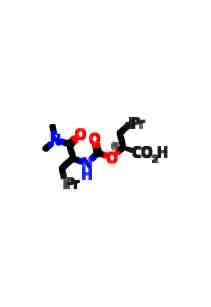 CC(C)CC(NC(=O)O[C@@H](CC(C)C)C(=O)O)C(=O)N(C)C